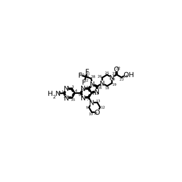 Nc1ncc(-c2nc(N3CCOCC3)c3nc(N4CCN(C(=O)CO)CC4)n(CC(F)(F)F)c3n2)cn1